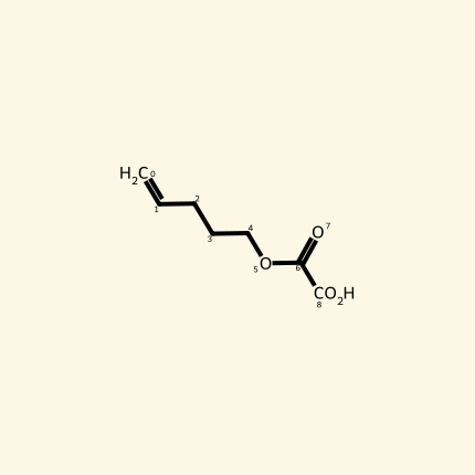 C=CCCCOC(=O)C(=O)O